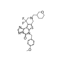 COc1ccc(Cn2c(=O)n3ncnc3c3c4c(sc32)CN(CC2CCCOC2)CC4(F)F)cc1